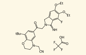 CCOc1cc2c(c(F)c1OCC)C(=N)N(CC(=O)c1cc3c(c(C(C)(C)C)c1)OCCN3CC#N)C2.O=C(O)C(F)(F)F